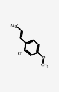 COc1ccc(C=[CH][Mg+])cc1.[Cl-]